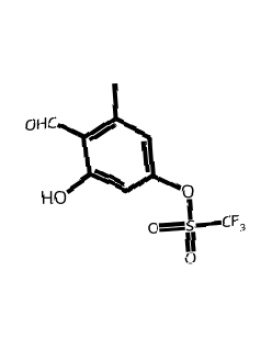 Cc1cc(OS(=O)(=O)C(F)(F)F)cc(O)c1C=O